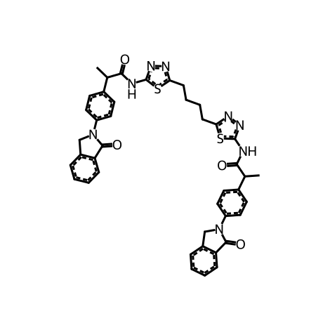 CC(C(=O)Nc1nnc(CCCCc2nnc(NC(=O)C(C)c3ccc(N4Cc5ccccc5C4=O)cc3)s2)s1)c1ccc(N2Cc3ccccc3C2=O)cc1